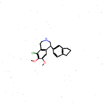 COc1cc2c(c(Cl)c1OC)CCNCC2c1ccc2c(c1)CCC2